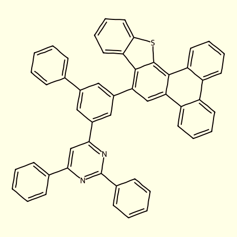 c1ccc(-c2cc(-c3cc(-c4ccccc4)nc(-c4ccccc4)n3)cc(-c3cc4c5ccccc5c5ccccc5c4c4sc5ccccc5c34)c2)cc1